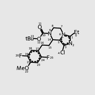 CCc1nc(Cl)c2n1CCN(C(=O)OC(C)(C)C)C2CCc1cc(F)c(OC)cc1F